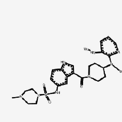 CCN(c1ncccc1NC(C)(C)C)C1CCN(C(=O)c2c[nH]c3ccc(NS(=O)(=O)N4CCN(C)CC4)cc23)CC1